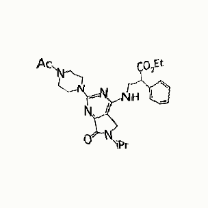 CCOC(=O)C(CNc1nc(N2CCN(C(C)=O)CC2)nc2c1CN(C(C)C)C2=O)c1ccccc1